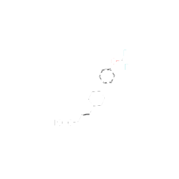 O=C(O)CC=C[C@H]1CC[C@H](c2ccc(OC(F)F)cc2)CC1